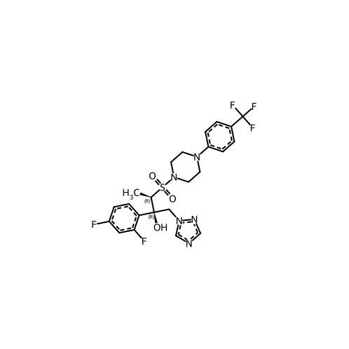 C[C@H]([C@](O)(Cn1cncn1)c1ccc(F)cc1F)S(=O)(=O)N1CCN(c2ccc(C(F)(F)F)cc2)CC1